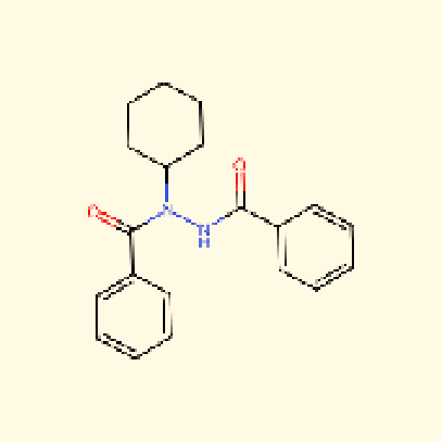 O=C(NN(C(=O)c1ccccc1)C1CCCCC1)c1ccccc1